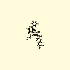 CCCCOc1c(C(=O)NNC(=O)Cc2ccc(F)cc2)nn2c1C(=O)N(C)C[C@@H]2c1ccccc1